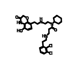 O=C1COc2c(CCNCCN(C(=O)CCNCCc3cccc(Cl)c3Cl)C3CCCCC3)ccc(O)c2N1